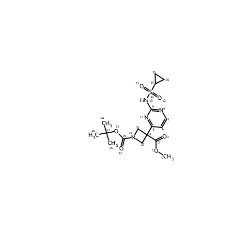 COC(=O)C1(c2ccnc(NS(=O)(=O)C3CC3)n2)CN(C(=O)OC(C)(C)C)C1